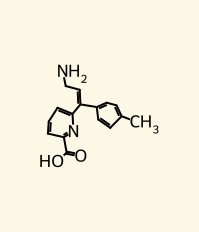 Cc1ccc(C(=CCN)c2cccc(C(=O)O)n2)cc1